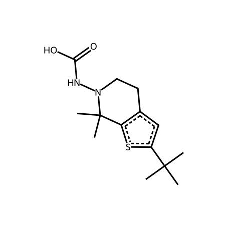 CC(C)(C)c1cc2c(s1)C(C)(C)N(NC(=O)O)CC2